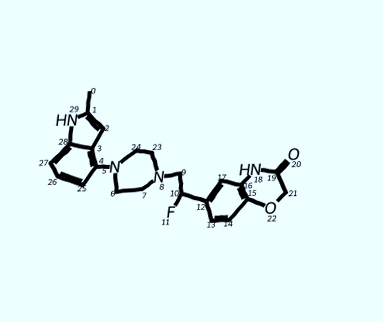 Cc1cc2c(N3CCN(CC(F)c4ccc5c(c4)NC(=O)CO5)CC3)cccc2[nH]1